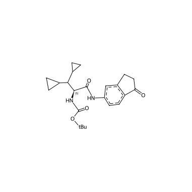 CC(C)(C)OC(=O)N[C@H](C(=O)Nc1ccc2c(c1)CCC2=O)C(C1CC1)C1CC1